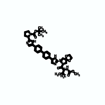 COC(=O)N[C@H](C(=O)N1CC2(C[C@H]1c1ncc(-c3ccc(-c4ccc(-c5cnc(C6CCCN6C(=O)OC(C)(C)C)[nH]5)cc4)cc3)[nH]1)OCCO2)C(C)C